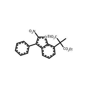 CCOC(=O)C(C)(C(=O)OCC)c1cccc2c(-c3ccccc3)c([N+](=O)[O-])oc12